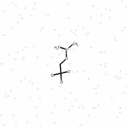 C[N+](C)OCC(Cl)(Cl)Cl